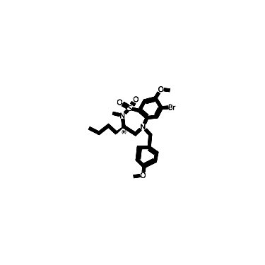 CCCC[C@@H]1CN(Cc2ccc(OC)cc2)c2cc(Br)c(OC)cc2S(=O)(=O)N1C